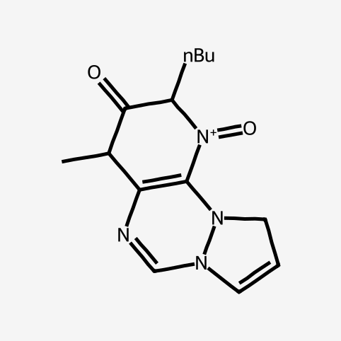 CCCCC1C(=O)C(C)C2=C(N3CC=CN3C=N2)[N+]1=O